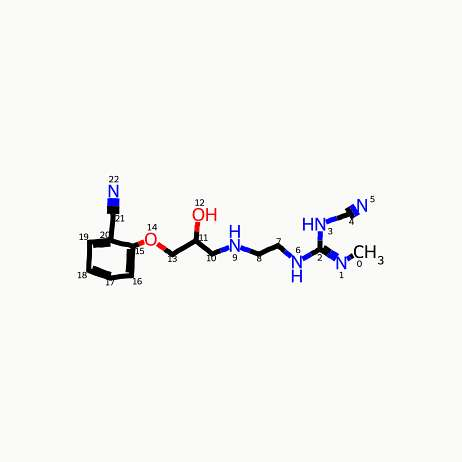 C/N=C(\NC#N)NCCNCC(O)COc1ccccc1C#N